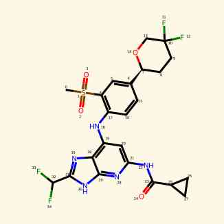 CS(=O)(=O)c1cc([C@@H]2CCC(F)(F)CO2)ccc1Nc1cc(NC(=O)C2CC2)nc2[nH]c(C(F)F)nc12